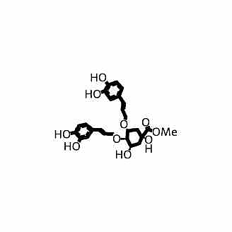 COC(=O)[C@]1(O)C[C@@H](O)[C@@H](OC/C=C/c2ccc(O)c(O)c2)[C@H](OC/C=C/c2ccc(O)c(O)c2)C1